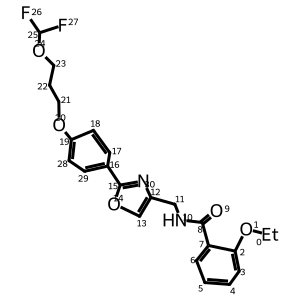 CCOc1ccccc1C(=O)NCc1coc(-c2ccc(OCCCOC(F)F)cc2)n1